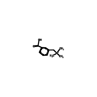 C[N+](C)(C)Cc1cccc(C(=O)O)c1